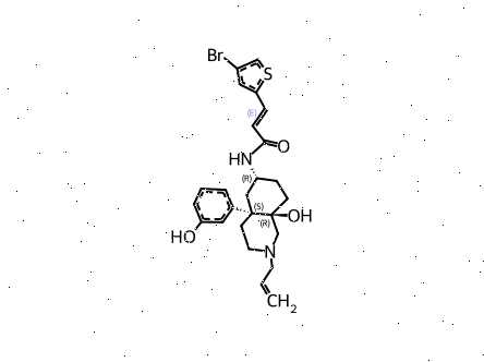 C=CCN1CC[C@@]2(c3cccc(O)c3)C[C@H](NC(=O)/C=C/c3cc(Br)cs3)CC[C@]2(O)C1